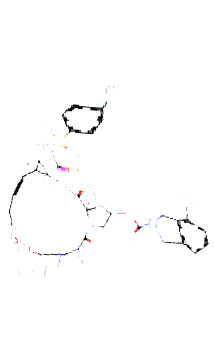 Cl.N[C@H]1CCOCCC=C[C@@H]2C[C@@]2(C(=O)NS(=O)(=O)c2ccc(Cl)cc2)NC(=O)[C@@H]2C[C@@H](OC(=O)N3Cc4cccc(Cl)c4C3)CN2C1=O